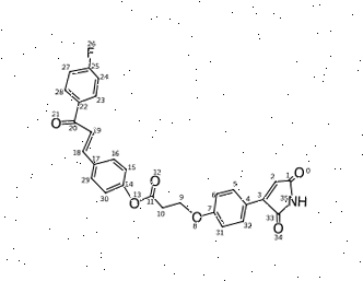 O=C1C=C(c2ccc(OCCC(=O)Oc3ccc(C=CC(=O)c4ccc(F)cc4)cc3)cc2)C(=O)N1